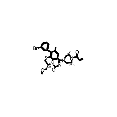 C=CC(=O)N1[C@H](C)CN(c2nc(=O)n3c4c(c(-c5cccc(Br)c5)c(C)cc24)SC[C@@H]3COC)C[C@@H]1C